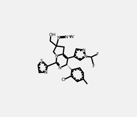 Cc1ccc([C@@H]2N=C(c3nccs3)N3CC(CO)(N=[N+]=[N-])CC3=C2c2cnn(C(F)F)c2)c(Cl)c1